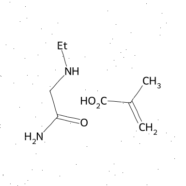 C=C(C)C(=O)O.CCNCC(N)=O